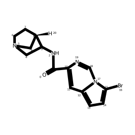 O=C(NC1CN2CC[C@H]1C2)c1cc2ccc(Br)n2cn1